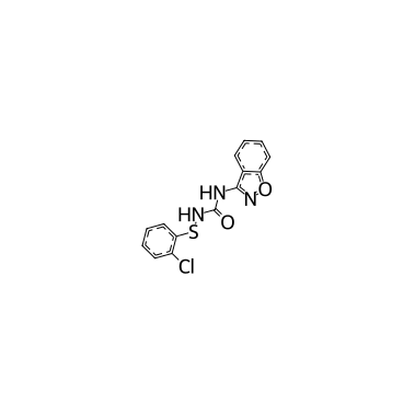 O=C(NSc1ccccc1Cl)Nc1noc2ccccc12